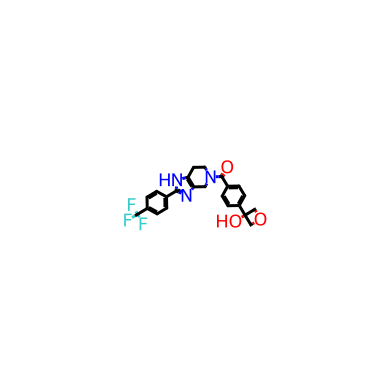 O=C(c1ccc(C2(O)COC2)cc1)N1CCc2[nH]c(-c3ccc(C(F)(F)F)cc3)nc2C1